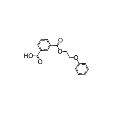 O=C(O)c1cccc(C(=O)OCCOc2ccccc2)c1